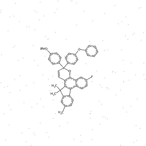 COc1ccc(C2(c3ccc(Oc4ccccc4)cc3)C=Cc3c4c(c5ccc(F)cc5c3O2)-c2ccc(C)cc2C4(C)C)cc1